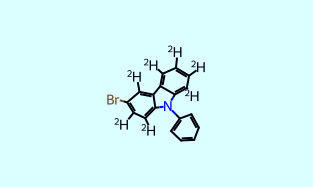 [2H]c1c([2H])c([2H])c2c(c1[2H])c1c([2H])c(Br)c([2H])c([2H])c1n2-c1ccccc1